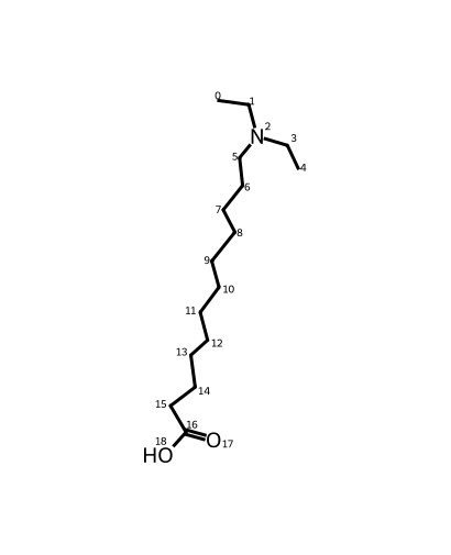 CCN(CC)CCCCCCCCCCCC(=O)O